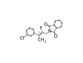 C/C(=C(/F)CN1C(=O)c2ccccc2C1=O)c1cccc(Cl)c1